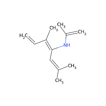 C=C/C(C)=C(\C=C(C)C)NC(=C)C